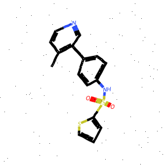 Cc1ccncc1-c1ccc(NS(=O)(=O)c2cccs2)cc1